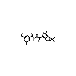 CCc1cc(C(=O)NNC(=O)c2sc(C)c3c2CC2C3C2(C)C)cc(C)n1